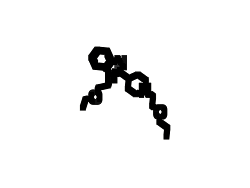 CCCOCCN1CCC(c2nc3ccccc3n2CCOCC)CC1